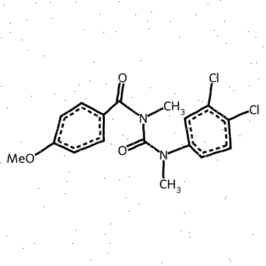 COc1ccc(C(=O)N(C)C(=O)N(C)c2ccc(Cl)c(Cl)c2)cc1